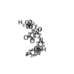 CS(=O)(=O)N1CCC(C(=O)N(CCCN2CCC(NS(=O)(=O)c3ccc(F)cc3)CC2)c2ccc(Cl)c(Cl)c2)CC1